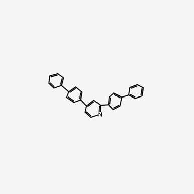 c1ccc(-c2ccc(-c3ccnc(-c4ccc(-c5ccccc5)cc4)c3)cc2)cc1